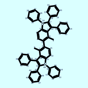 Cc1c(-c2ccc3c(c2C)c(-c2ccccc2)c(-c2ccccc2)n3-c2ccccc2)ccc2c1c(-c1ccccc1)c(-c1ccccc1)n2-c1ccccc1